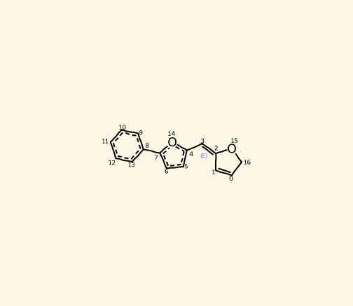 C1=C/C(=C\c2ccc(-c3ccccc3)o2)OC1